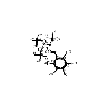 Cc1c(F)c(F)c(C[O][Zr]([O]C(C)(C)C)([O]C(C)(C)C)[O]C(C)(C)C)c(F)c1F